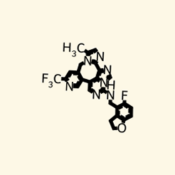 Cc1cnc2n1Cc1cc(C(F)(F)F)ncc1-c1cnc(NCc3c(F)ccc4c3CCO4)n3cnc-2c13